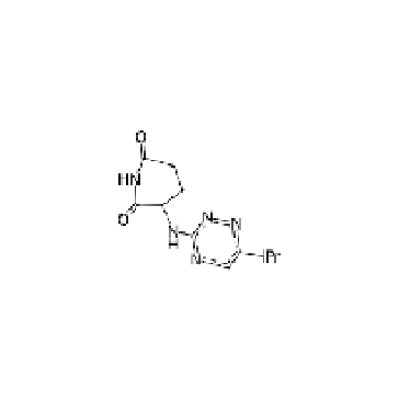 CC(C)c1cnc(NC2CCC(=O)NC2=O)nn1